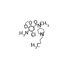 CCCCN1CCC(N(C)C(=O)c2cc(Cl)c(N)c3c2OCCO3)CC1